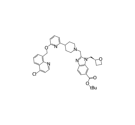 CC(C)(C)OC(=O)c1ccc2nc(CN3CCC(c4cccc(OCc5cccc6c(Cl)ccnc56)n4)CC3)n(C[C@@H]3CCO3)c2c1